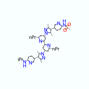 CCCc1cc(-n2nc(C)c(-c3ccc(NC(C)C)nc3)c2C)cc(-c2cc(-n3nc(C)c(-c4ccc(NS(C)(=O)=O)nc4)c3C)cc(CCC)n2)n1